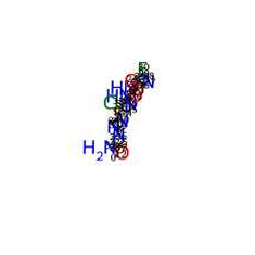 C[C@@H]1OCC2(CCN(c3cnc(Sc4ccnc(NC(=O)NS(=O)(=O)c5cncc(F)c5)c4Cl)cn3)CC2)[C@@H]1N